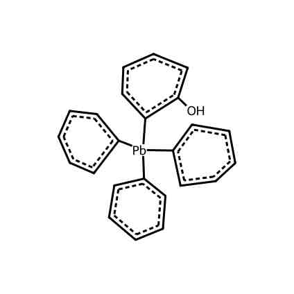 Oc1cccc[c]1[Pb]([c]1ccccc1)([c]1ccccc1)[c]1ccccc1